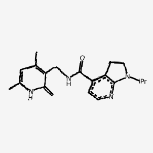 C=C1NC(C)=CC(C)=C1CNC(=O)c1ccnc2c1CCN2C(C)C